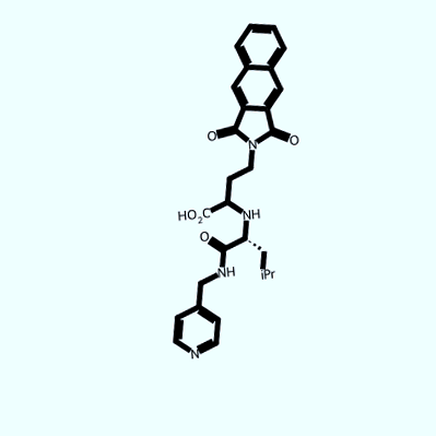 CC(C)C[C@@H](NC(CCN1C(=O)c2cc3ccccc3cc2C1=O)C(=O)O)C(=O)NCc1ccncc1